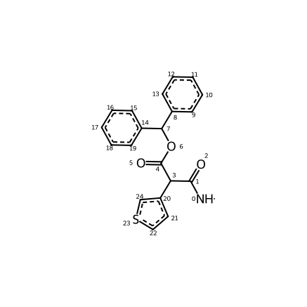 [NH]C(=O)C(C(=O)OC(c1ccccc1)c1ccccc1)c1ccsc1